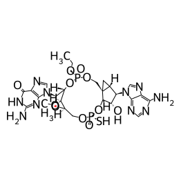 CCO[P@@]1(=O)OC[C@@]23C[C@@H]2[C@@H](n2cnc4c(N)ncnc42)[C@H](O)[C@@H]3O[P@@](=O)(S)OC[C@H]2O[C@@H](n3cnc4c(=O)[nH]c(N)nc43)[C@H](O1)[C@@H]2OC